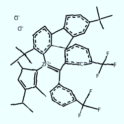 CC1=[C]([Zr+2](=[C](c2cccc(C(F)(F)F)c2)c2cccc(C(F)(F)F)c2)[c]2c(C(C)(C)C)ccc3c2Cc2cc(C(C)(C)C)ccc2-3)C(C)C=C1C(C)C.[Cl-].[Cl-]